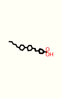 CCCCCC1CCC(C2CCC(C=Cc3ccc(C(=O)O)cc3)CC2)CC1